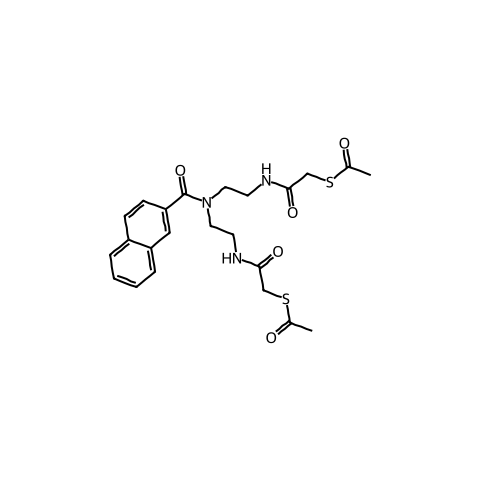 CC(=O)SCC(=O)NCCN(CCNC(=O)CSC(C)=O)C(=O)c1ccc2ccccc2c1